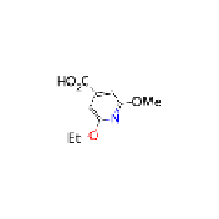 CCOc1cc(C(=O)O)cc(OC)n1